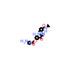 Cc1ccc(C(=O)NC2CC2)cc1-n1ncc(C(=O)c2cccc(OCC(=O)N3CCC(N)C3)c2)c1N